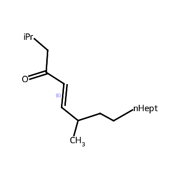 CCCCCCCCCC(C)/C=C/C(=O)CC(C)C